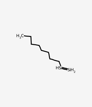 CCCCCCCC[SiH]=[SiH2]